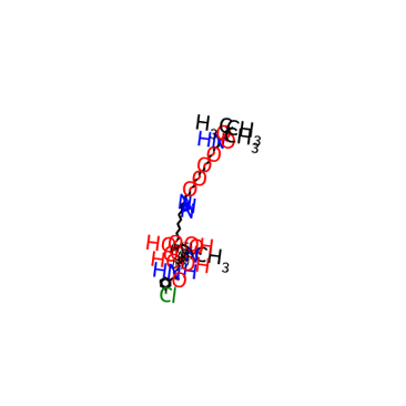 CC(=O)N[C@H]1[C@H]([C@H](O)[C@H](O)CNC(=O)c2cccc(Cl)c2)O[C@@](OCCCCCCc2cn(CCOCCOCCOCCOCCNC(=O)OC(C)(C)C)nn2)(C(=O)O)C[C@@H]1O